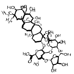 CC1(C)CC2C3=CCC4[C@@]5(C)CC[C@H](O[C@@H]6OC(C(=O)O)[C@@H](O)C(O[C@@H]7O[C@@H](CO)C(O)C7O)C6O[C@@H]6OC(CO)[C@H](O)C(O)C6O)C(C)(C)C5CC[C@@]4(C)[C@]3(C)[C@@H](O)[C@@H](O)[C@@]2(CO)[C@@H](O)[C@@H]1O